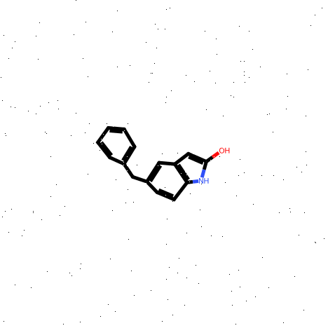 Oc1cc2cc(Cc3ccccc3)ccc2[nH]1